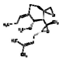 CC/C=C1/CC[C@]2(CO2)[C@@H]([C@]2(C)O[C@@H]2CC=C(C)C)[C@@H]1OC